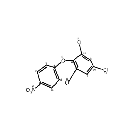 O=[N+]([O-])c1ccc(Oc2c(Cl)cc(Cl)cc2Cl)cc1